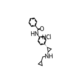 Cl.O=C(Nc1ccc([C@@H]2C[C@H]2NCC2CC2)cc1)c1ccccc1